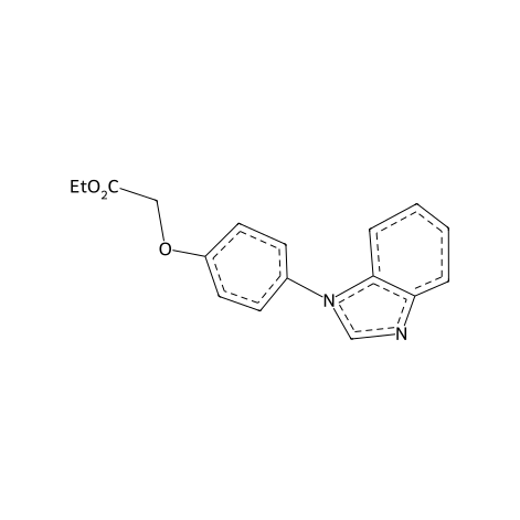 CCOC(=O)COc1ccc(-n2cnc3ccccc32)cc1